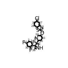 Fc1ccc(C2(C(F)(F)c3ccc(Oc4nc5cc(Cl)ccc5s4)cn3)CN2)c(F)c1